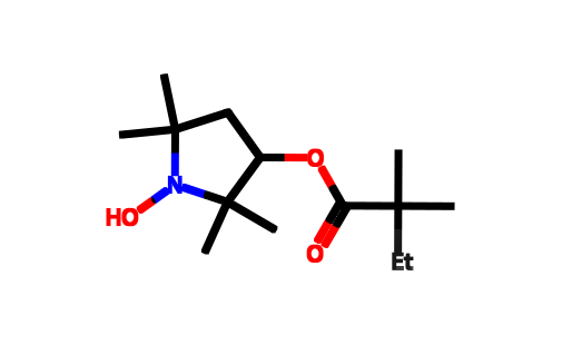 CCC(C)(C)C(=O)OC1CC(C)(C)N(O)C1(C)C